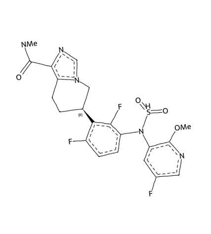 CNC(=O)c1ncn2c1CC[C@H](c1c(F)ccc(N(c3cc(F)cnc3OC)[SH](=O)=O)c1F)C2